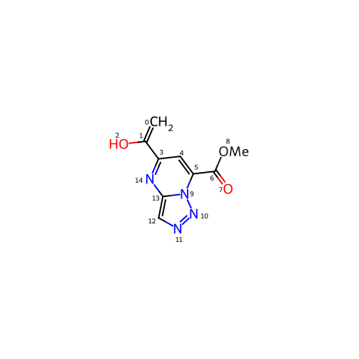 C=C(O)c1cc(C(=O)OC)n2nncc2n1